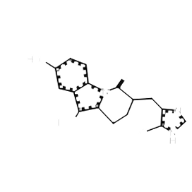 Cc1ccc2c(c1)c(C)c1n2C(=O)C(Cc2nc[nH]c2C)CC1